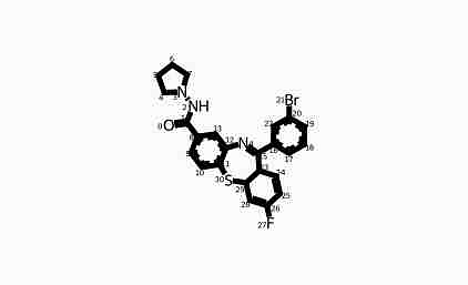 O=C(NN1CCCC1)c1ccc2c(c1)N=C(c1cccc(Br)c1)C1C=CC(F)=CC1S2